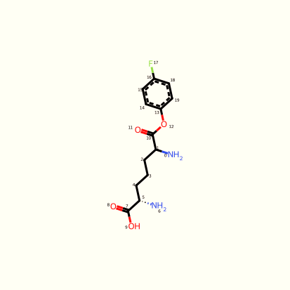 NC(CCC[C@H](N)C(=O)O)C(=O)Oc1ccc(F)cc1